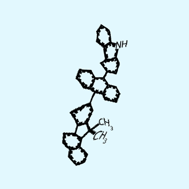 CC1(C)c2cc(-c3c4ccccc4c(-c4ccc5[nH]c6ccccc6c5c4)c4ccccc34)ccc2-c2ccc3ccccc3c21